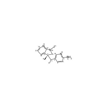 Bc1ccc(C(C)[C@@]2(C)CN(I)c3ncccc32)cn1